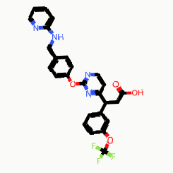 O=C(O)CC(c1cccc(OC(F)(F)F)c1)c1ccnc(Oc2ccc(CNc3ccccn3)cc2)n1